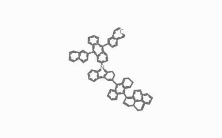 C1=CC2CC=c3cccc4ccc(c2c34)=C1c1c2c(c(C3=Cc4c(n(-c5ccc6c(-c7ccc8ccccc8c7)c7ccccc7c(-c7ccc8ccccc8c7)c6c5)c5ccccc45)CC3)c3ccccc13)=CCCC=2